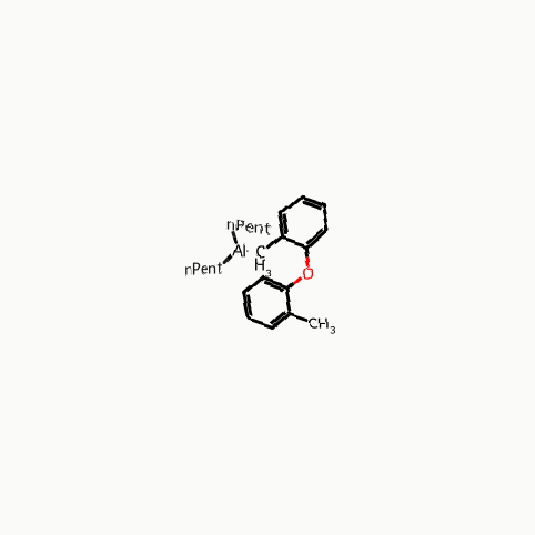 CCCC[CH2][Al][CH2]CCCC.Cc1ccccc1Oc1ccccc1C